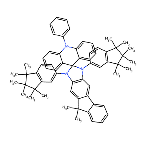 CC1(C)c2ccccc2-c2cc3c(cc21)N(c1ccc2c(c1)C(C)(C)C(C)(C)C2(C)C)C1(c2ccccc2N(c2ccccc2)c2ccccc21)N3c1ccc2c(c1)C(C)(C)C(C)(C)C2(C)C